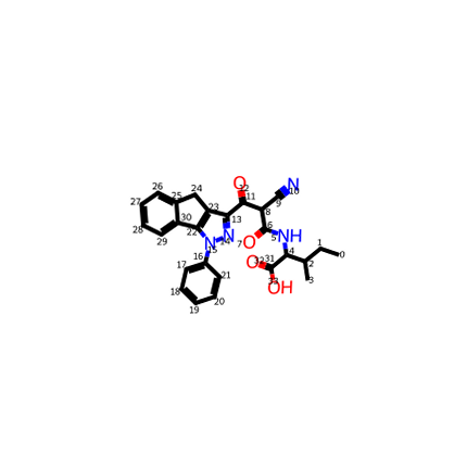 CCC(C)C(NC(=O)C(C#N)C(=O)c1nn(-c2ccccc2)c2c1Cc1ccccc1-2)C(=O)O